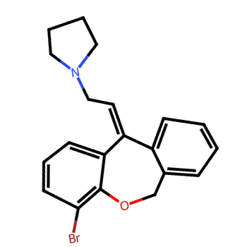 Brc1cccc2c1OCc1ccccc1/C2=C/CN1CCCC1